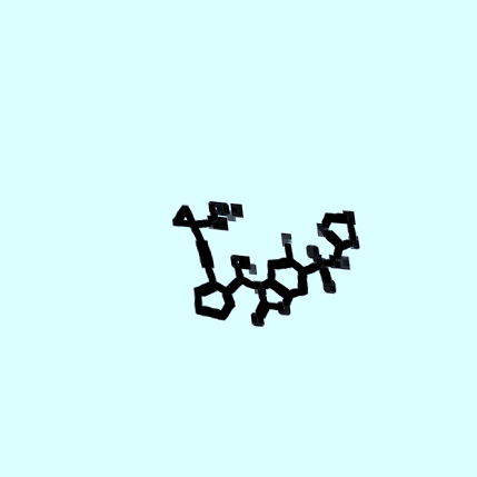 CC(c1ccccc1C#CC1(NC(=O)O)CC1)n1c(=O)oc2cc(S(=O)(=O)Nc3ncns3)c(F)cc21